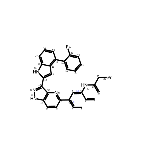 C=C/C(=C\C(=C/C)c1ccc2[nH]nc(-c3cc4c(-c5ccccc5F)cccc4[nH]3)c2n1)NC(=C)CC(C)C